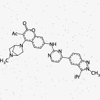 CC(=O)c1c(N2CC3CC2CN3C)c2ccc(Nc3nccc(-c4ccc5nn(C)c(C(C)C)c5c4)n3)cc2oc1=O